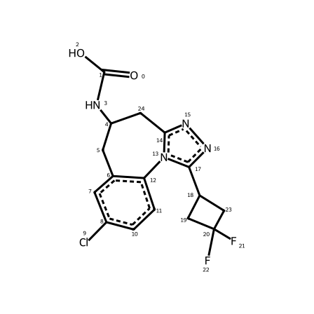 O=C(O)NC1Cc2cc(Cl)ccc2-n2c(nnc2C2CC(F)(F)C2)C1